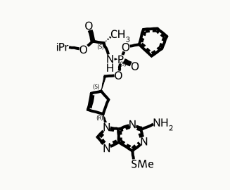 CSc1nc(N)nc2c1ncn2[C@H]1C=C[C@@H](CO[P@@](=O)(N[C@@H](C)C(=O)OC(C)C)Oc2ccccc2)C1